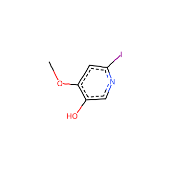 COc1cc(I)ncc1O